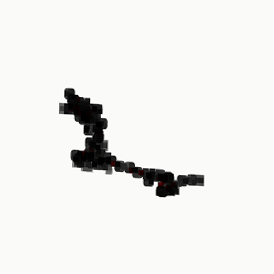 CCCC1O[C@@H]2C[C@H]3[C@@H]4CCC5=CC(=O)C=C[C@]5(C)[C@H]4[C@@H](O)C[C@]3(C)[C@]2(C(=O)COC2CCCN2C(=O)CNC(=O)OCc2ccc(NC(=O)[C@H](CCCNC(N)=O)NC(=O)[C@@H](NC(=O)CCOCCOCCOCCOCCNC(=O)CCC(=O)N3Cc4ccccc4-c4nnn(CCOCCO)c4-c4ccccc43)C(C)C)cc2)O1